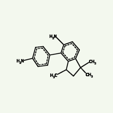 CC1CC(C)(C)c2ccc(N)c(-c3ccc(N)cc3)c21